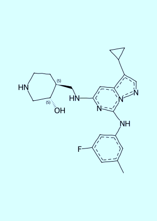 Cc1cc(F)cc(Nc2nc(NC[C@@H]3CCNC[C@H]3O)cc3c(C4CC4)cnn23)c1